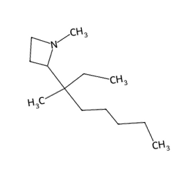 CCCCCC(C)(CC)C1CCN1C